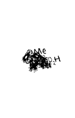 COc1cccc(OC)c1-c1ccc(C[C@H](Nc2nc(N(C)C)ncc2-c2c(C)nn(C)c2C)C(=O)O)nc1